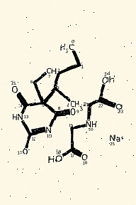 CCCC(C)C1(CC)C(=O)N=C([O-])NC1=O.O=C(O)CNCC(=O)O.[Na+]